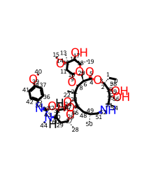 CC[C@H]1OC(=O)[C@H](C)[C@@H](O[C@H]2C[C@@](C)(OC)[C@@H](O)[C@H](C)O2)[C@H](C)[C@@H](O[C@@H]2O[C@H](C)C[C@H]3[C@H]2O/C(=N\c2ccc(OC)cc2)N3C)[C@](C)(O)C[C@@H](C)CN[C@H](C)[C@@H](O)[C@]1(C)O